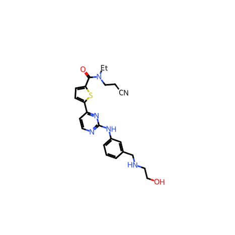 CCN(CCC#N)C(=O)c1ccc(-c2ccnc(Nc3cccc(CNCCO)c3)n2)s1